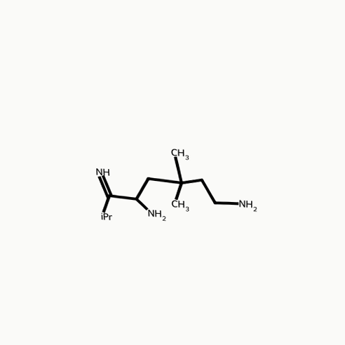 CC(C)C(=N)C(N)CC(C)(C)CCN